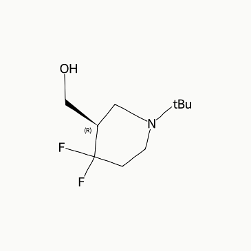 CC(C)(C)N1CCC(F)(F)[C@@H](CO)C1